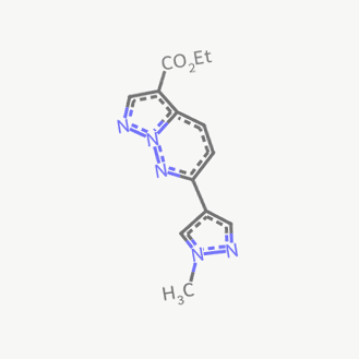 CCOC(=O)c1cnn2nc(-c3cnn(C)c3)ccc12